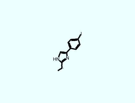 C[CH]c1nc(-c2ccc(I)cc2)c[nH]1